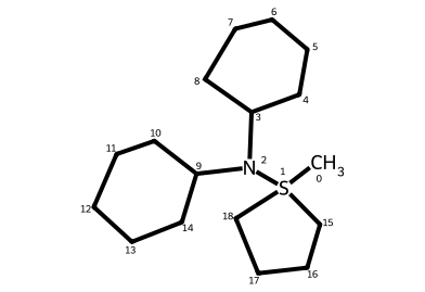 CS1(N(C2CCCCC2)C2CCCCC2)CCCC1